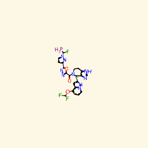 O=C(c1nnc(-c2ccn(C(F)P)n2)o1)N1CCc2[nH]cnc2[C@H]1c1cc2c(OC(F)F)cccn2n1